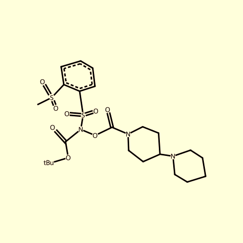 CC(C)(C)OC(=O)N(OC(=O)N1CCC(N2CCCCC2)CC1)S(=O)(=O)c1ccccc1S(C)(=O)=O